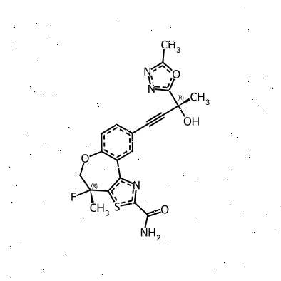 Cc1nnc([C@](C)(O)C#Cc2ccc3c(c2)-c2nc(C(N)=O)sc2[C@](C)(F)CO3)o1